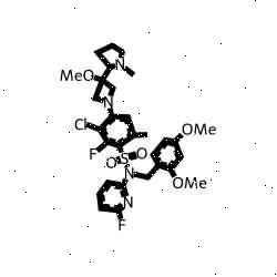 COc1ccc(CN(c2cccc(F)n2)S(=O)(=O)c2c(C)cc(N3CC(OC)(C4CCCN4C)C3)c(Cl)c2F)c(OC)c1